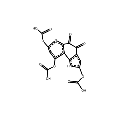 O=C(O)Oc1cc(OC(=O)O)c2c(n1)C(=O)C(=O)c1cc(OC(=O)O)[nH]c1-2